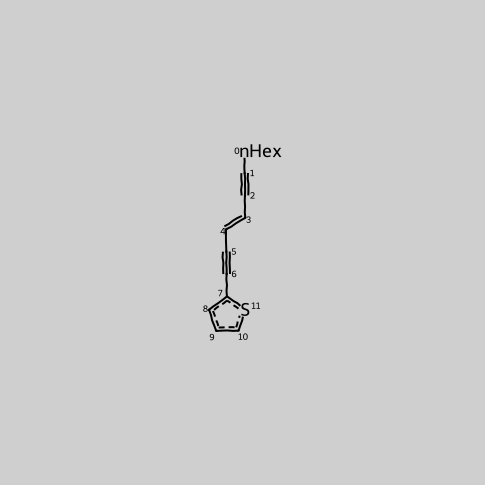 CCCCCCC#CC=CC#Cc1cccs1